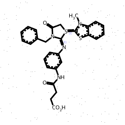 Cn1/c(=S2\CC(=O)N(Cc3ccccc3)\C2=N/c2cccc(NC(=O)CCC(=O)O)c2)sc2ccccc21